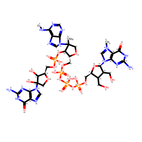 CCNc1ncnc2c1ncn2C1(OC)CO[C@H](COP(=O)(O)OP(=O)(O)OP(=O)(O)OC[C@H]2O[C@@H](n3c[n+](C)c4c(=O)[nH]c(N)nc43)C(CO)C2CO)C1OP(=O)(O)OC[C@H]1OCC(O)(n2cnc3c(=O)[nH]c(N)nc32)C1O